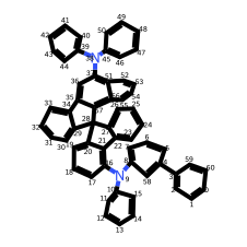 c1ccc(-c2cccc(N(c3ccccc3)c3cccc4c3-c3ccccc3C43c4ccccc4-c4cc(N(c5ccccc5)c5ccccc5)c5ccccc5c43)c2)cc1